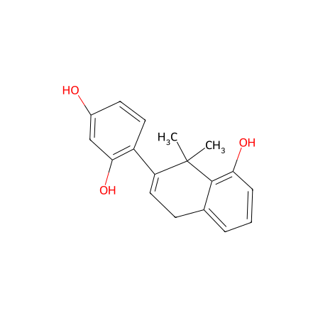 CC1(C)C(c2ccc(O)cc2O)=CCc2cccc(O)c21